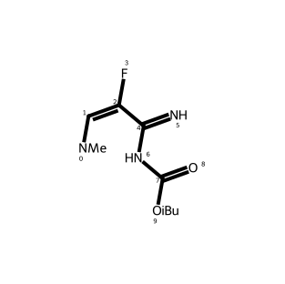 CN/C=C(/F)C(=N)NC(=O)OCC(C)C